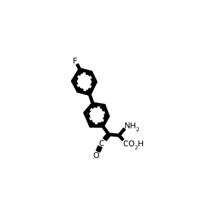 NC(C(=O)O)C(=C=O)c1ccc(-c2ccc(F)cc2)cc1